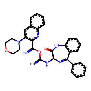 N=C(NC1N=C(c2ccccc2)c2ccccc2NC1=O)OC(=N)c1nc2ccccc2cc1N1CCOCC1